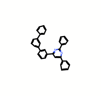 c1ccc(-c2cccc(-c3cccc(-c4cc(-c5ccccc5)nc(-c5ccccc5)n4)c3)c2)cc1